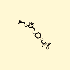 CC(=O)N[C@@H](C)CO[C@H]1CC[C@H](OCc2cc(OCC3CC3)no2)CC1